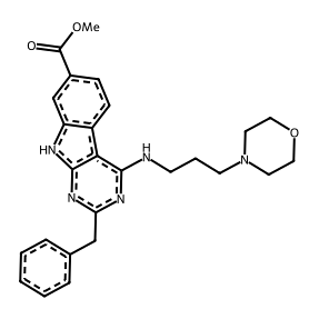 COC(=O)c1ccc2c(c1)[nH]c1nc(Cc3ccccc3)nc(NCCCN3CCOCC3)c12